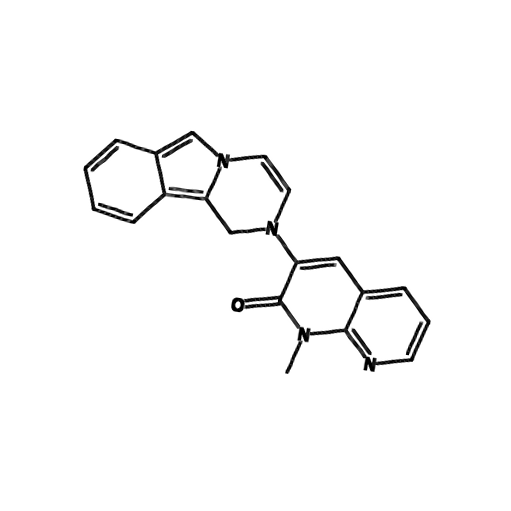 Cn1c(=O)c(N2C=Cn3cc4ccccc4c3C2)cc2cccnc21